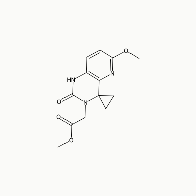 COC(=O)CN1C(=O)Nc2ccc(OC)nc2C12CC2